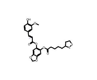 COc1cc(/C=C/C(=O)Oc2cc3c(cc2OC(=O)CCCCC2CCSS2)OCO3)ccc1O